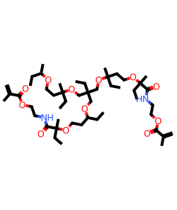 C=C(C)C(=O)OCCNC(=O)C(C)(CC)OCCC(CC)OCC(CC)(COC(C)(CC)CCOC(C)CC)COC(C)(CC)CCOC(C)(CC)C(=O)NCCOC(=O)C(=C)C